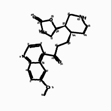 COc1ccc2nccc(C(=O)CC[C@@H]3CCNC[C@@H]3C3CNC(=O)O3)c2c1